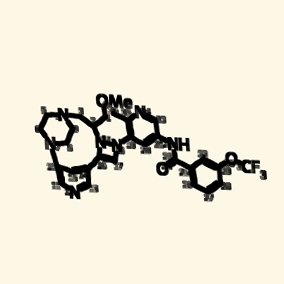 COCC1CN2CCN(CC2)c2cncc(c2)-c2cn(-c3cc(NC(=O)c4cccc(OC(F)(F)F)c4)cnc3C)n21